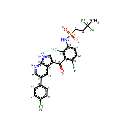 CC(F)(F)CCS(=O)(=O)Nc1ccc(F)c(C(=O)c2c[nH]c3ncc(-c4ccc(Cl)cc4)cc23)c1F